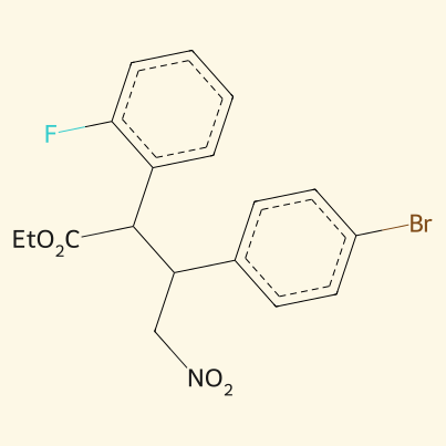 CCOC(=O)C(c1ccccc1F)C(C[N+](=O)[O-])c1ccc(Br)cc1